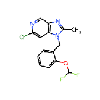 Cc1nc2cnc(Cl)cc2n1Cc1ccccc1OC(F)F